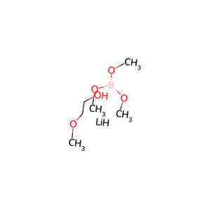 COB(OC)OC.COCCO.[LiH]